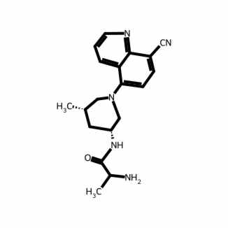 CC(N)C(=O)N[C@@H]1C[C@H](C)CN(c2ccc(C#N)c3ncccc23)C1